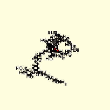 CC[C@H](C)C1NC(=O)CNC(=O)C2Cc3c([nH]c4cc(OCCCCCCN(C)C(=O)OCc5ccc(OC6O[C@H](C(=O)O)C(O)CC6O)c(C(=O)NCCOCCOCCON)c5)ccc34)[S+]([O-])C[C@H](NC(=O)CNC1=O)C(=O)N[C@@H](CC(N)=O)C(=O)N1C[C@H](O)C[C@H]1C(=O)NC(C(C)[C@@H](O)CO)C(=O)N2